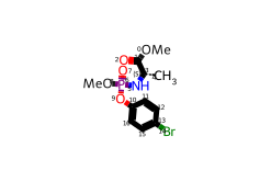 COC(=O)[C@H](C)NP(=O)(OC)Oc1ccc(Br)cc1